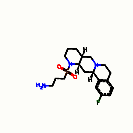 NCCCS(=O)(=O)N1CCC[C@H]2CN3CCc4ccc(F)cc4[C@@H]3C[C@H]21